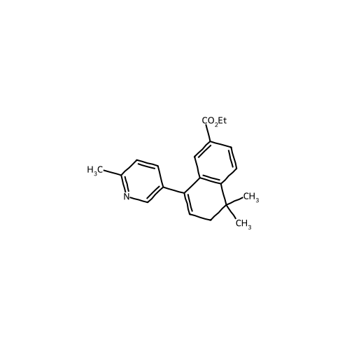 CCOC(=O)c1ccc2c(c1)C(c1ccc(C)nc1)=CCC2(C)C